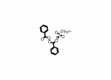 O=C(OOC(=O)c1ccccc1)c1ccccc1.O=S(=O)([O-])[O-].[Fe+2]